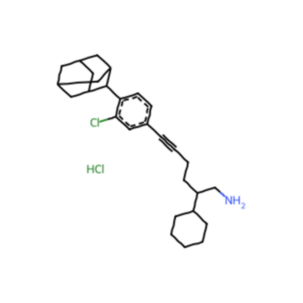 Cl.NCC(CCC#Cc1ccc(C2C3CC4CC(C3)CC2C4)c(Cl)c1)C1CCCCC1